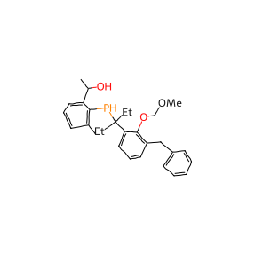 CCC(CC)(Pc1c(C)cccc1C(C)O)c1cccc(Cc2ccccc2)c1OCOC